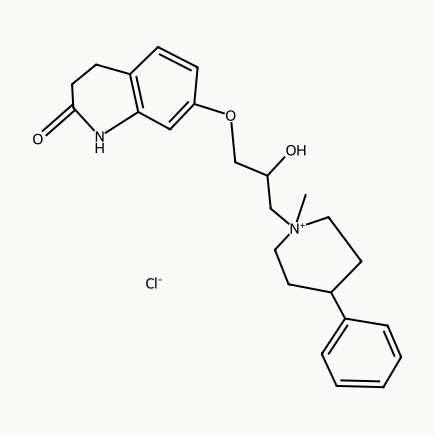 C[N+]1(CC(O)COc2ccc3c(c2)NC(=O)CC3)CCC(c2ccccc2)CC1.[Cl-]